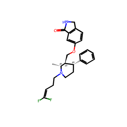 C[C@@H]1[C@@H](COc2ccc3c(c2)C(=O)NC3)[C@H](c2ccccc2)CCN1CCC=C(F)F